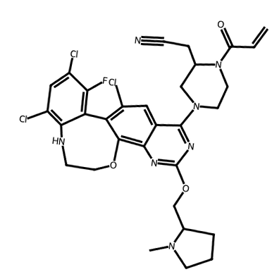 C=CC(=O)N1CCN(c2nc(OCC3CCCN3C)nc3c4c(c(Cl)cc23)-c2c(F)c(Cl)cc(Cl)c2NCCO4)CC1CC#N